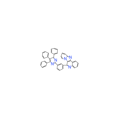 c1ccc(-c2nc(-c3cccc(-c4nc5ccccc5c5nc6ccccn6c45)c3)nc(-c3ccccc3)c2-c2ccccc2)cc1